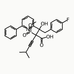 CO[PH](=O)C(C#CC(C)C)(C(=O)O)C(O)(Cc1ccc(F)cc1)c1cccc(-c2ccccc2)n1